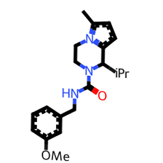 COc1cccc(CNC(=O)N2CCn3c(C)ccc3C2C(C)C)c1